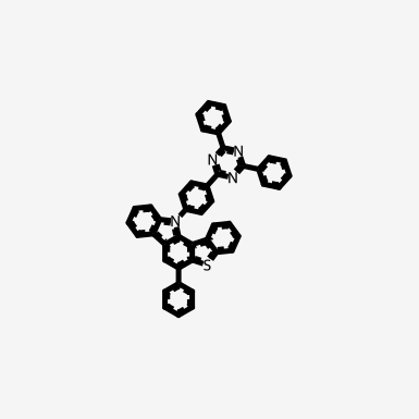 c1ccc(-c2nc(-c3ccccc3)nc(-c3ccc(-n4c5ccccc5c5cc(-c6ccccc6)c6sc7ccccc7c6c54)cc3)n2)cc1